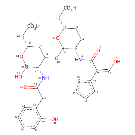 O=C(O)C[C@@H]1CC[C@H](NC(=O)/C(=C\O)c2cccs2)B(OC2C[C@@H](CC(=O)O)OB(O)[C@H]2NC(=O)Cc2ccccc2O)O1